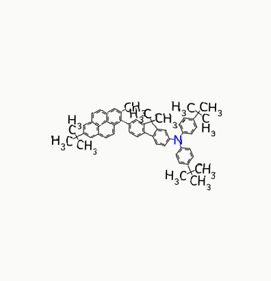 Cc1cc2ccc3cc(C(C)(C)C)cc4ccc(c1-c1ccc5c(c1)C(C)(C)c1cc(N(c6ccc(C(C)(C)C)cc6)c6ccc(C(C)(C)C)cc6)ccc1-5)c2c34